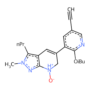 C#Cc1cnc(OCC(C)C)c(C2=Cc3c(nn(C)c3CCC)[NH+]([O-])C2)c1